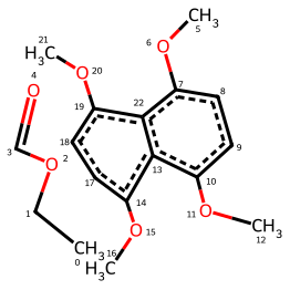 CCOC=O.COc1ccc(OC)c2c(OC)ccc(OC)c12